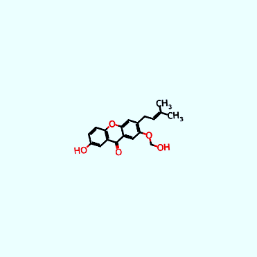 CC(C)=CCc1cc2oc3ccc(O)cc3c(=O)c2cc1OCO